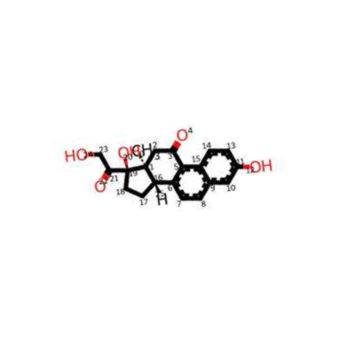 C[C@]12CC(=O)c3c(ccc4cc(O)ccc34)[C@@H]1CC[C@]2(O)C(=O)CO